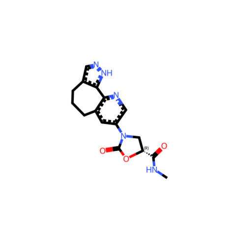 CNC(=O)[C@H]1CN(c2cnc3c(c2)CCCc2cn[nH]c2-3)C(=O)O1